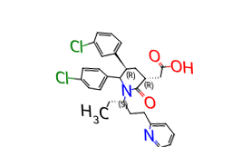 CC[C@@H](CCc1ccccn1)N1C(=O)[C@@H](CC(=O)O)C[C@H](c2cccc(Cl)c2)C1c1ccc(Cl)cc1